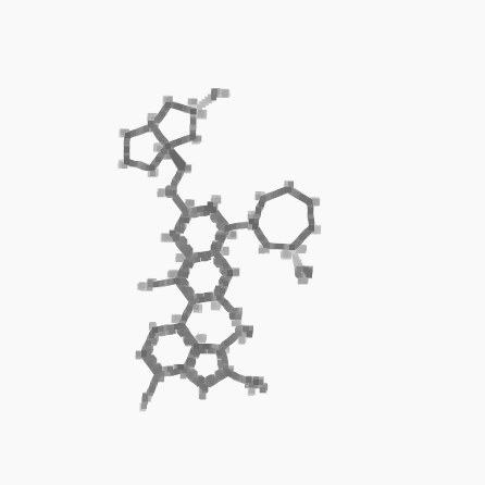 N#Cc1c(N)sc2c(F)ccc(-c3c(Cl)cc4c(N5CCCC[C@H](C#N)C5)nc(OC[C@@]56CCCN5C[C@H](F)C6)nc4c3F)c12